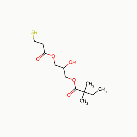 CCC(C)(C)C(=O)OCC(O)COC(=O)CCS